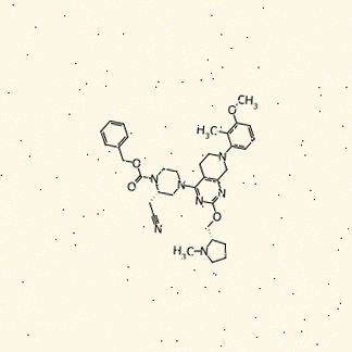 COc1cccc(N2CCc3c(nc(OC[C@@H]4CCCN4C)nc3N3CCN(C(=O)OCc4ccccc4)[C@@H](CC#N)C3)C2)c1C